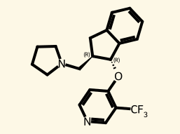 FC(F)(F)c1cnccc1O[C@H]1c2ccccc2C[C@@H]1CN1CCCC1